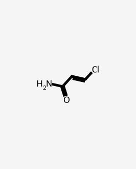 NC(=O)/C=C/Cl